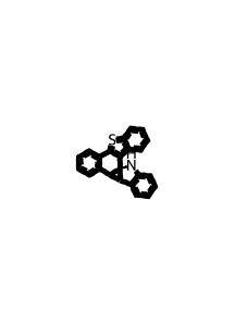 c1ccc2c(c1)N[C@]13c4c(sc5ccccc45)-c4ccccc4C1C23